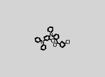 O=C(c1cccc(Cl)c1)c1cccc(N(c2ccccc2)c2ccc(N(c3ccccc3)c3ccccc3)cc2Cl)c1